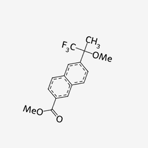 COC(=O)c1ccc2cc(C(C)(OC)C(F)(F)F)ccc2c1